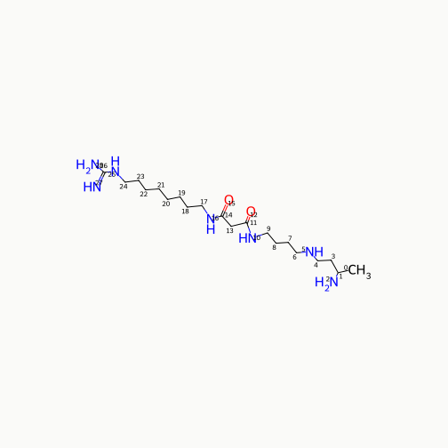 CC(N)CCNCCCCNC(=O)CC(=O)NCCCCCCCCNC(=N)N